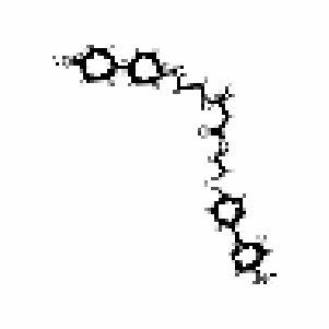 [C-]#[N+]c1ccc(-c2ccc(OCCOC(=O)CC(=O)OCCOc3ccc(-c4ccc(C#N)cc4)cc3)cc2)cc1